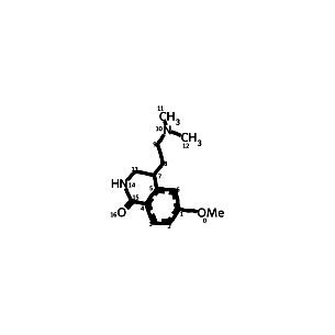 COc1ccc2c(c1)C(CCN(C)C)CNC2=O